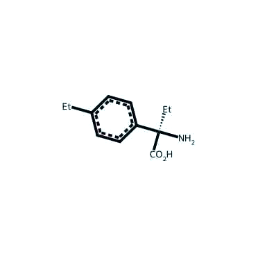 CCc1ccc([C@](N)(CC)C(=O)O)cc1